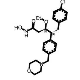 CCO[C@H](CC(=O)NO)[C@H](Cc1ccc(Cl)cc1)c1ccc(CN2CCOCC2)cc1